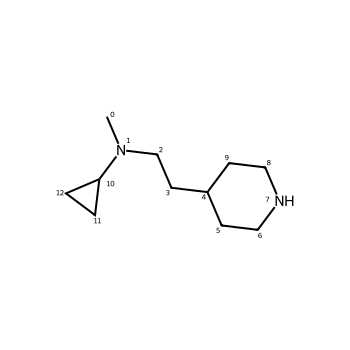 CN(CCC1CCNCC1)C1CC1